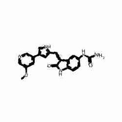 COc1cncc(-c2c[nH]c(/C=C3\C(=O)Nc4ccc(NC(N)=O)cc43)c2)c1